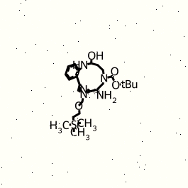 CC(C)(C)OC(=O)N1CCC(O)Nc2ccccc2-c2cn(COCC[Si](C)(C)C)c(n2)[C@@H](N)C1